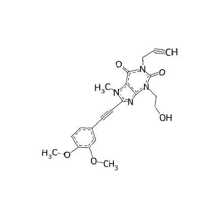 C#CCn1c(=O)c2c(nc(C#Cc3ccc(OC)c(OC)c3)n2C)n(CCO)c1=O